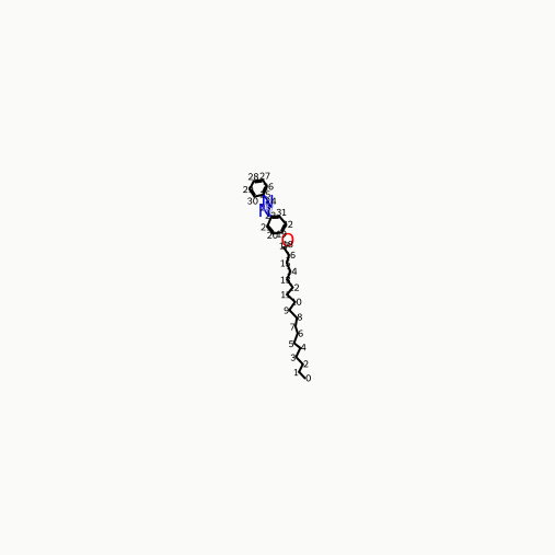 CCCCCCCCCCCCCCCCCCOc1ccc(/N=N/c2ccccc2)cc1